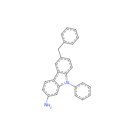 Nc1ccc2c3cc(Cc4ccccc4)ccc3n(-c3ccccc3)c2c1